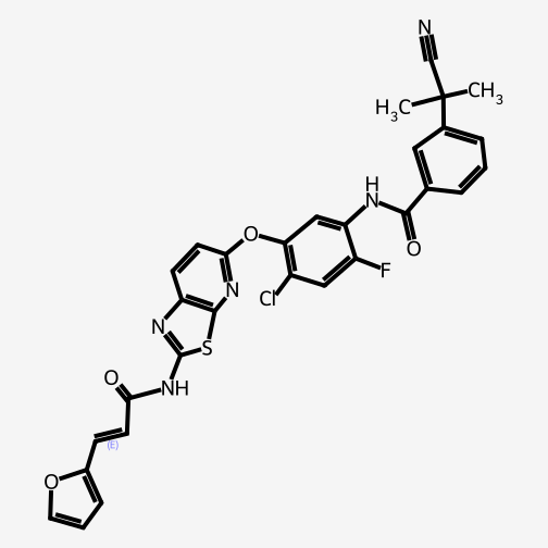 CC(C)(C#N)c1cccc(C(=O)Nc2cc(Oc3ccc4nc(NC(=O)/C=C/c5ccco5)sc4n3)c(Cl)cc2F)c1